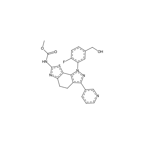 COC(=O)Nc1nc2c(s1)-c1c(c(-c3cccnc3)nn1-c1cc(CO)ccc1F)CC2